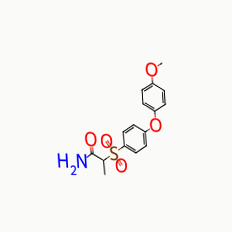 COc1ccc(Oc2ccc(S(=O)(=O)C(C)C(N)=O)cc2)cc1